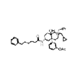 CC(=O)Oc1cccc([C@]23CC[N@+](CC(C)C)(CC4CC4)CC2(O)CC[C@@H](NC(=O)CCCCCc2ccccc2)C3)c1